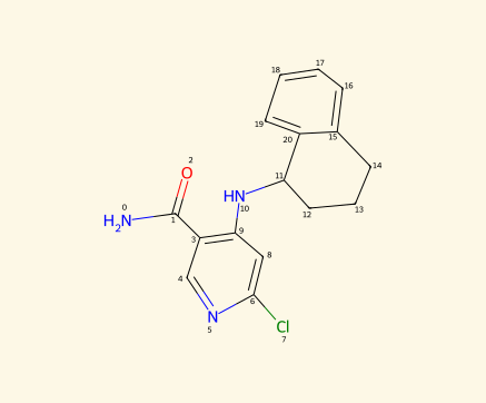 NC(=O)c1cnc(Cl)cc1NC1CCCc2ccccc21